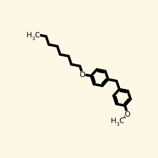 CCCCCCCCOc1ccc(Cc2ccc(OC)cc2)cc1